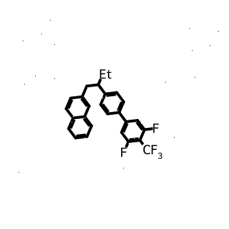 CCC(Cc1ccc2ccccc2c1)c1ccc(-c2cc(F)c(C(F)(F)F)c(F)c2)cc1